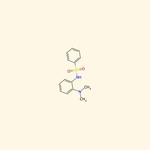 CN(C)c1ccccc1NS(=O)(=O)c1ccccc1